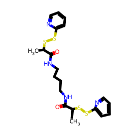 CC(SSc1ccccn1)C(=O)NCCCCNC(=O)C(C)SSc1ccccn1